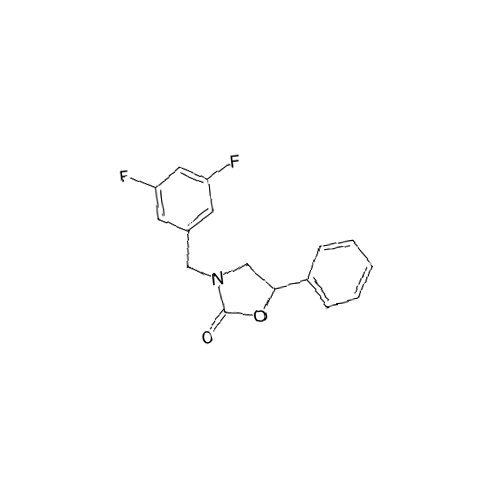 O=C1OC(c2ccccc2)CN1Cc1cc(F)cc(F)c1